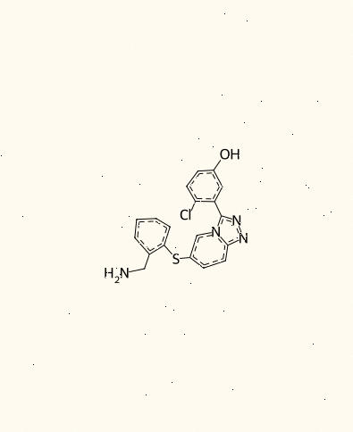 NCc1ccccc1Sc1ccc2nnc(-c3cc(O)ccc3Cl)n2c1